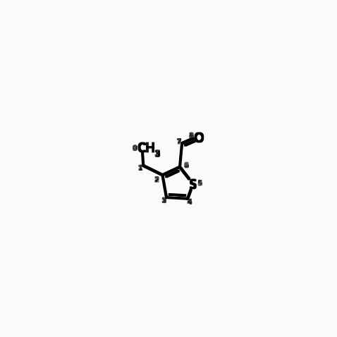 CCc1ccsc1C=O